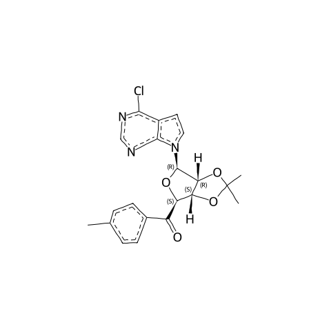 Cc1ccc(C(=O)[C@H]2O[C@@H](n3ccc4c(Cl)ncnc43)[C@@H]3OC(C)(C)O[C@@H]32)cc1